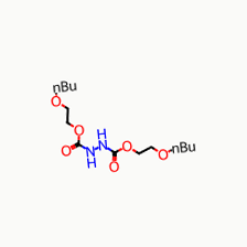 CCCCOCCOC(=O)NNC(=O)OCCOCCCC